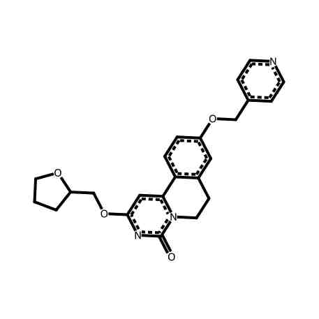 O=c1nc(OCC2CCCO2)cc2n1CCc1cc(OCc3ccncc3)ccc1-2